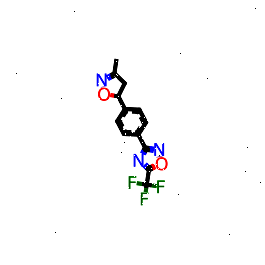 CC1=NOC(c2ccc(-c3noc(C(F)(F)F)n3)cc2)C1